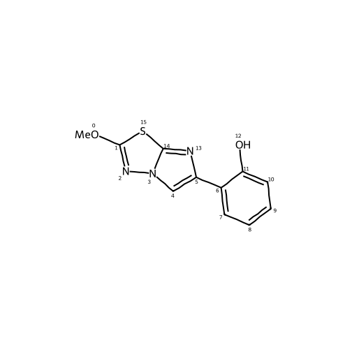 COc1nn2cc(-c3ccccc3O)nc2s1